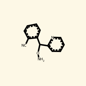 N#Cc1ccccc1C(ON)c1ccccn1